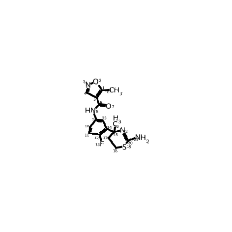 Cc1oncc1C(=O)Nc1ccc(F)c(C2(C)CCSC(N)=N2)c1